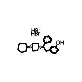 Br.Br.Oc1cccc(CC(c2ccccc2)N2CCN(C3CCCCCC3)CC2)c1